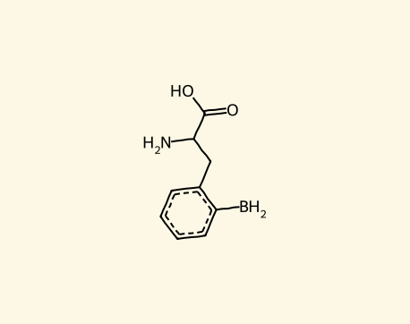 Bc1ccccc1CC(N)C(=O)O